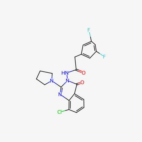 O=C(Cc1cc(F)cc(F)c1)Nn1c(N2CCCC2)nc2c(Cl)cccc2c1=O